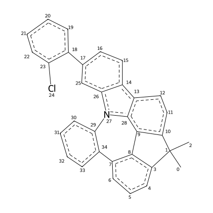 CC1(C)c2cccc3c2-c2c1ccc1c4ccc(-c5ccccc5Cl)cc4n(c21)-c1ccccc1-3